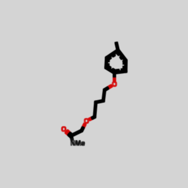 CNC(=O)COCCCCOc1ccc(C)cc1